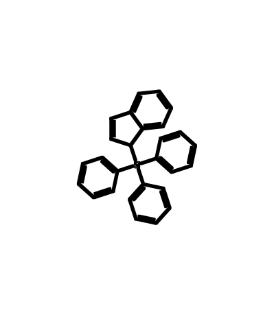 C1=CC([Si](c2ccccc2)(c2ccccc2)c2ccccc2)c2ccccc21